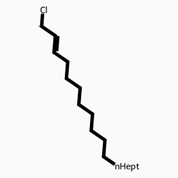 CCCCCCCCCCCCCCCC=C[CH]Cl